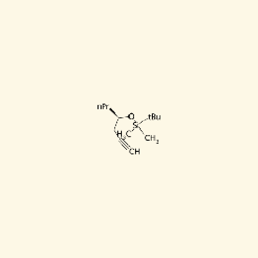 C#CC[C@@H](CCC)O[Si](C)(C)C(C)(C)C